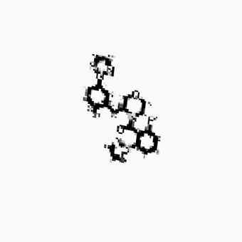 O=C(c1c(F)cccc1-n1nccn1)N1CCOCC1Cc1cc(-n2nccn2)ccc1F